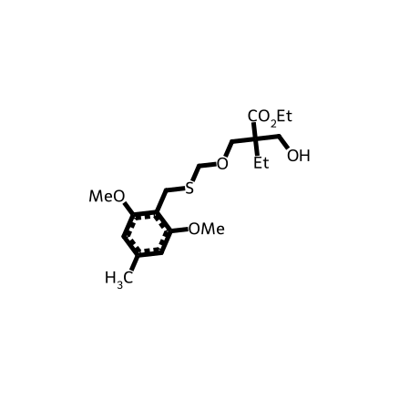 CCOC(=O)C(CC)(CO)COCSCc1c(OC)cc(C)cc1OC